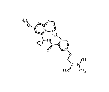 COc1cc(C2(NC(=O)c3cc(OC[C@H](C)N(C)C)ccc3C)CC2)c2cccnc2c1